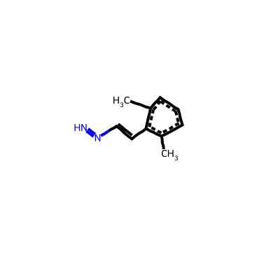 Cc1cccc(C)c1C=CN=N